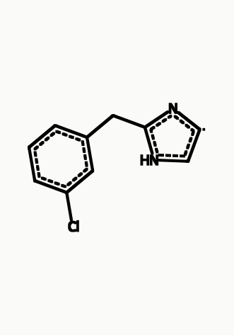 Clc1cccc(Cc2n[c]c[nH]2)c1